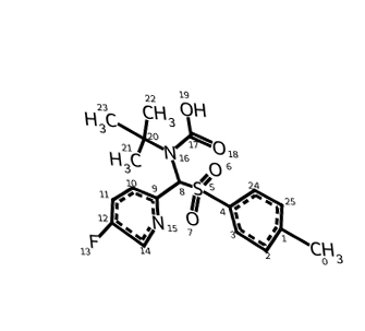 Cc1ccc(S(=O)(=O)C(c2ccc(F)cn2)N(C(=O)O)C(C)(C)C)cc1